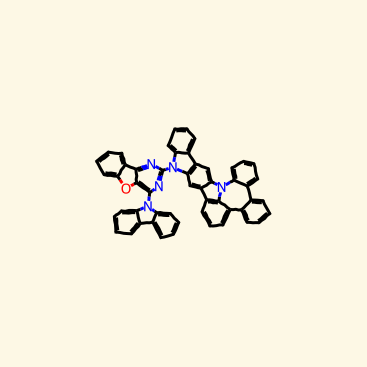 c1ccc2c(c1)-c1ccccc1-n1c3cc4c5ccccc5n(-c5nc(-n6c7ccccc7c7ccccc76)c6oc7ccccc7c6n5)c4cc3c3cccc-2c31